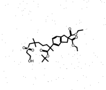 CCOC(=O)C1(C(=O)OCC)Cc2ccc(C(C)(CCCC(C)(C)CS(=O)(=O)CCO)C(=O)OC(C)(C)C)cc2C1